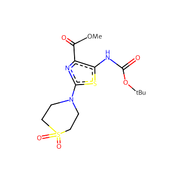 COC(=O)c1nc(N2CCS(=O)(=O)CC2)sc1NC(=O)OC(C)(C)C